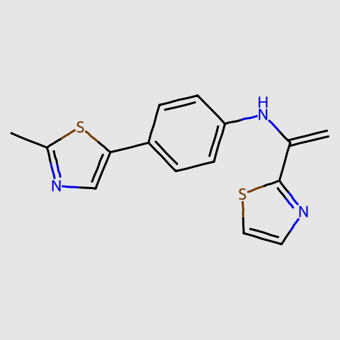 C=C(Nc1ccc(-c2cnc(C)s2)cc1)c1nccs1